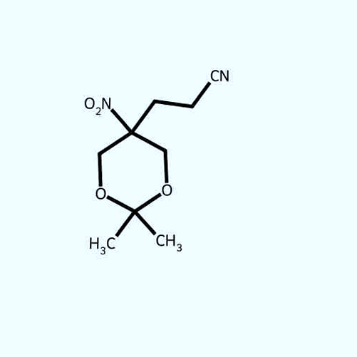 CC1(C)OCC(CCC#N)([N+](=O)[O-])CO1